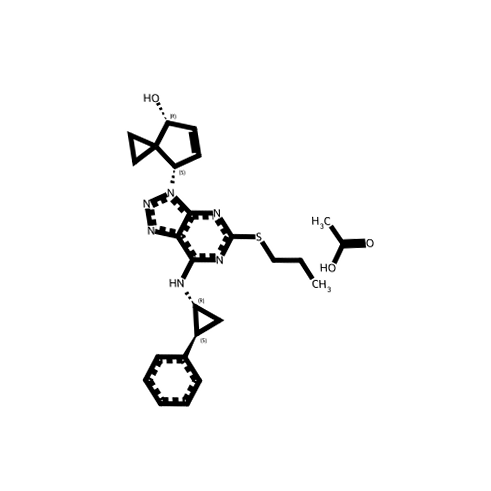 CC(=O)O.CCCSc1nc(N[C@@H]2C[C@H]2c2ccccc2)c2nnn([C@H]3C=C[C@@H](O)C34CC4)c2n1